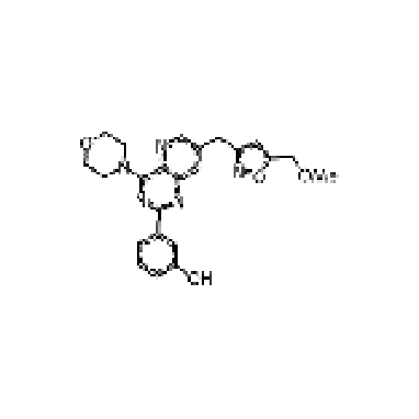 COCc1cc(Cc2cnc3c(N4CCOCC4)nc(-c4cccc(O)c4)nc3c2)no1